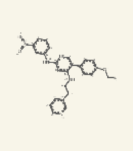 CCOc1ccc(-c2cnc(Nc3cccc([SH](=N)=O)c3)nc2NCCc2cccnc2)cc1